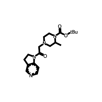 CC1CN(CC(=O)N2CCc3cnccc32)CCN1C(=O)OC(C)(C)C